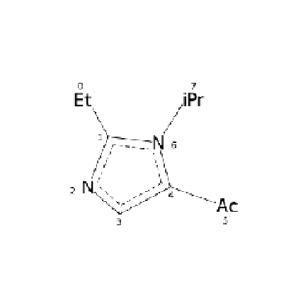 CCc1ncc(C(C)=O)n1C(C)C